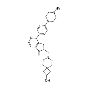 CC(C)N1CCN(c2ccc(-c3nccc4[nH]c(CN5CCC6(CC5)CC(O)C6)cc34)cc2)CC1